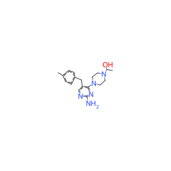 Cc1ccc(Cc2cnc(N)nc2N2CCN(C(C)O)CC2)cc1